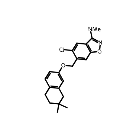 CNc1noc2cc(COc3ccc4c(c3)CC(C)(C)CC4)c(Cl)cc12